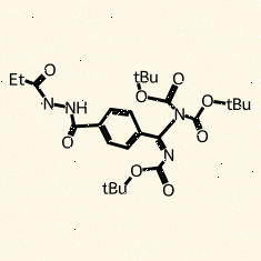 CCC(=O)[N]NC(=O)c1ccc(C(=NC(=O)OC(C)(C)C)N(C(=O)OC(C)(C)C)C(=O)OC(C)(C)C)cc1